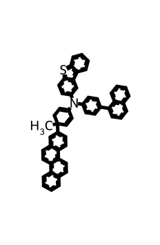 CC1(c2ccc3c(ccc4c5ccccc5ccc34)c2)C=CC(N(c2ccc(-c3cccc4ccccc34)cc2)c2ccc3sc4ccccc4c3c2)=CC1